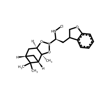 CC1(C)[C@@H]2C[C@H]3OB([C@H](CC4COc5ccccc54)NCl)O[C@@]3(C)[C@H]1C2